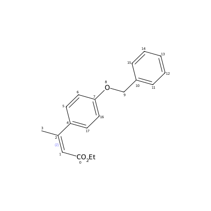 CCOC(=O)/C=C(/C)c1ccc(OCc2ccccc2)cc1